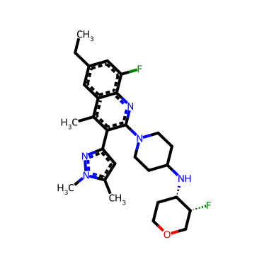 CCc1cc(F)c2nc(N3CCC(N[C@H]4CCOC[C@H]4F)CC3)c(-c3cc(C)n(C)n3)c(C)c2c1